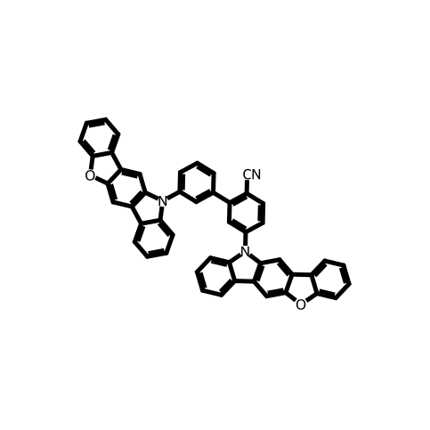 N#Cc1ccc(-n2c3ccccc3c3cc4oc5ccccc5c4cc32)cc1-c1cccc(-n2c3ccccc3c3cc4oc5ccccc5c4cc32)c1